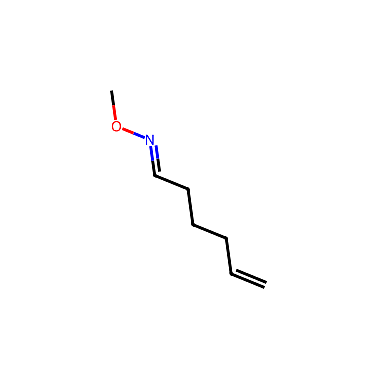 C=CCCC/C=N/OC